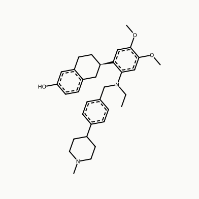 CCN(Cc1ccc(C2CCN(C)CC2)cc1)c1cc(OC)c(OC)cc1[C@@H]1CCc2cc(O)ccc2C1